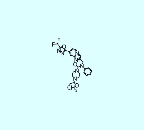 CCC(=O)N1CCN(C(=O)N(Cc2cn3ccc(-c4nnc(C(F)F)o4)cc3n2)c2ccccc2)CC1